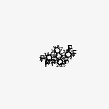 Fc1ccc(-c2c3ccccc3c(-c3ccc(F)c(F)c3)c3c(F)ccc(F)c23)cc1F